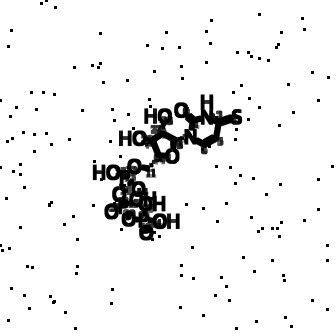 O=c1[nH]c(=S)ccn1[C@@H]1O[C@H](COP(=O)(O)OP(=O)(O)OP(=O)(O)O)[C@H](O)[C@@H]1O